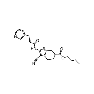 CCCCOC(=O)N1CCc2c(sc(NC(=O)C=Cc3cccnc3)c2C#N)C1